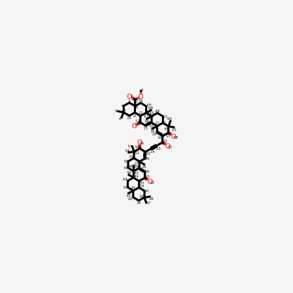 COC(=O)C12CCC(C)(C)CC1C1C(=O)C=C3C4(C)C=C(C(=O)C#CC5=CC6(C)C7=CC(=O)C8C9CC(C)(C)CCC9(C)CCC8(C)C7(C)CCC6C(C)(C)C5=O)C(=O)C(C)(C)C4CCC3(C)C1(C)CC2